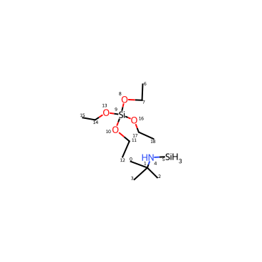 CC(C)(C)N[SiH3].CCO[Si](OCC)(OCC)OCC